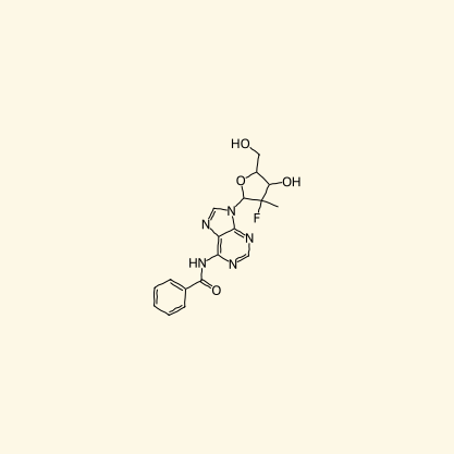 CC1(F)C(O)C(CO)OC1n1cnc2c(NC(=O)c3ccccc3)ncnc21